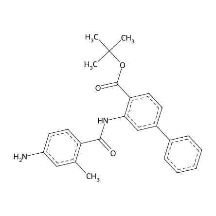 Cc1cc(N)ccc1C(=O)Nc1cc(-c2ccccc2)ccc1C(=O)OC(C)(C)C